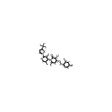 Cc1cnc(-n2ccc(C(C)(C)C)n2)c(F)c1-n1c(C)cc(OCc2ncc(F)cc2F)c(Cl)c1=O